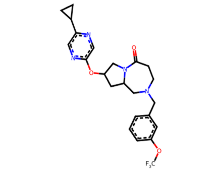 O=C1CCN(Cc2cccc(OC(F)(F)F)c2)CC2CC(Oc3cnc(C4CC4)cn3)CN12